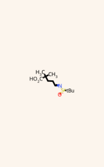 CC(C)(CCC=N[S+]([O-])C(C)(C)C)C(=O)O